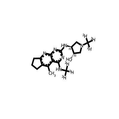 [2H]C([2H])([2H])Nc1nc(N[C@H]2CN(C([2H])([2H])[2H])C[C@@H]2O)nc2nc3c(c(C)c12)CCC3